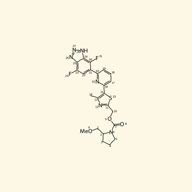 COCC1CCCN1C(=O)OCc1nc(C)c(-c2cccc(-c3cc(F)c4nn[nH]c4c3F)n2)s1